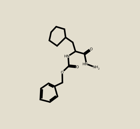 NNC(=O)C(CC1CCCCC1)NC(=O)OCc1ccccc1